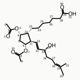 CC(=O)O[C@H]1C[C@@H](OC(C)=O)[C@H](/C=C/[C@@H](O)CCC=C(C)C)[C@H]1CCCCCCC(=O)O